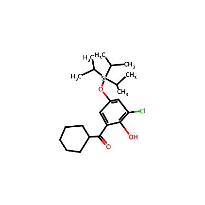 CC(C)[Si](Oc1cc(Cl)c(O)c(C(=O)C2CCCCC2)c1)(C(C)C)C(C)C